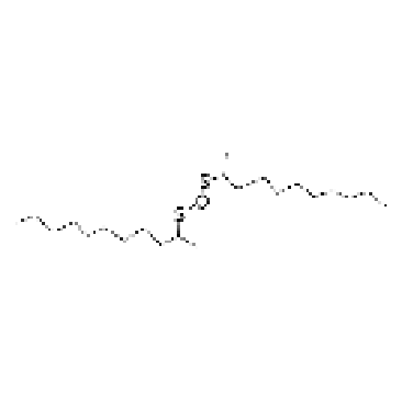 CCCCCCCCCC(C)SOSC(C)CCCCCCCCC